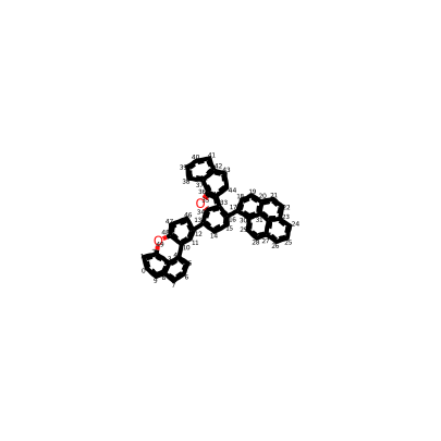 c1cc2c3c(cccc3c1)-c1cc(-c3ccc(-c4ccc5ccc6cccc7ccc4c5c67)c4c3oc3c5ccccc5ccc34)ccc1O2